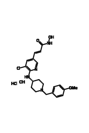 COc1ccc(CN2CCC(Nc3ncc(C=CC(=O)NO)cc3Cl)CC2)cc1.Cl.Cl